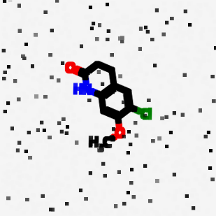 COc1cc2c(cc1Cl)CCC(=O)N2